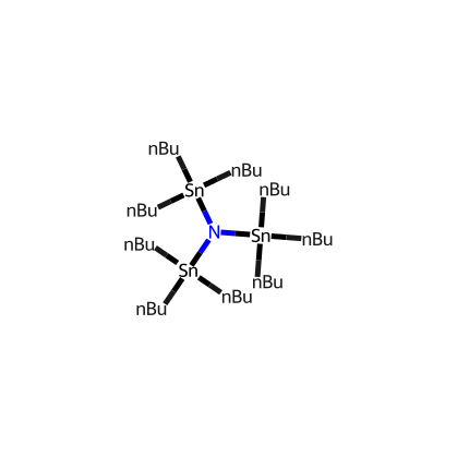 CCC[CH2][Sn]([CH2]CCC)([CH2]CCC)[N]([Sn]([CH2]CCC)([CH2]CCC)[CH2]CCC)[Sn]([CH2]CCC)([CH2]CCC)[CH2]CCC